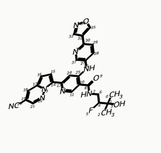 CC(C)(O)C(F)CNC(=O)c1cnc(-c2ccc3cc(C#N)cnn23)cc1Nc1ccc(-c2cnoc2)nc1